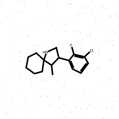 CC1C(c2cccc(Cl)c2F)CNC12CCCCC2